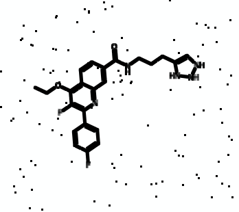 CCOc1c(F)c(-c2ccc(F)cc2)nc2cc(C(=O)NCCCC3=CNNN3)ccc12